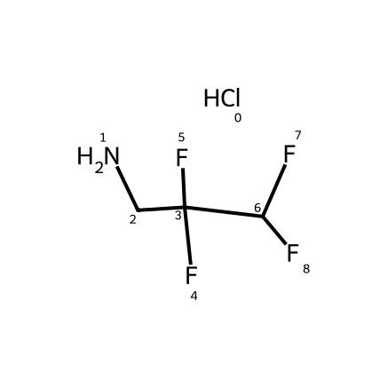 Cl.NCC(F)(F)C(F)F